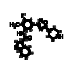 Cc1c(F)cc(-c2noc(N3CCNCC3)n2)cc1NC(=O)c1cnc2ccccn12